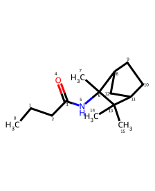 CCCC(=O)NC1(C)C2CCC(C2)C1(C)C